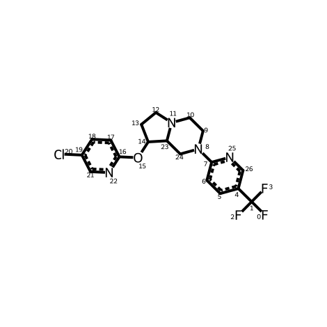 FC(F)(F)c1ccc(N2CCN3CCC(Oc4ccc(Cl)cn4)C3C2)nc1